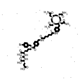 NC(=O)CN1CCN(CC(N)=O)CCN(CC(N)=O)C(Cc2ccc(NC(=S)CCCCCC(=O)NCc3ccc(C(=O)N(CCCC[C@@H](NC(=O)N[C@H](CCC(=O)O)C(=O)O)C(=O)O)Cc4ccc(Br)cc4)cc3)cc2)CN(CC(N)=O)CC1